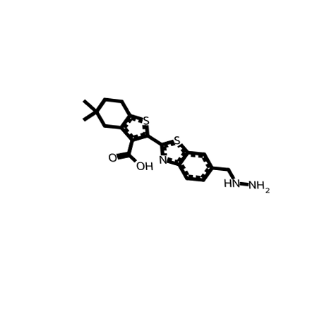 CC1(C)CCc2sc(-c3nc4ccc(CNN)cc4s3)c(C(=O)O)c2C1